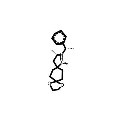 COC1(C[C@H](C)N[C@@H](C)c2ccccc2)CCC2(CC1)OCCO2